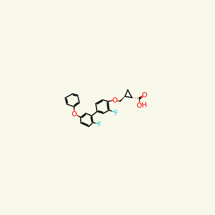 O=C(O)[C@H]1C[C@@H]1COc1ccc(-c2cc(Oc3ccccc3)ccc2F)cc1F